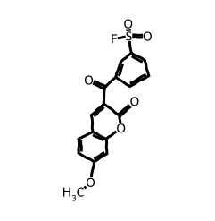 COc1ccc2cc(C(=O)c3cccc(S(=O)(=O)F)c3)c(=O)oc2c1